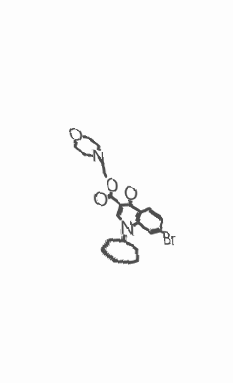 O=C(OCCN1CCOCC1)c1cn(C2CCCCC2)c2cc(Br)ccc2c1=O